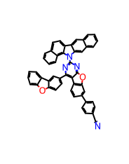 N#Cc1ccc(-c2ccc3c(c2)oc2nc(-n4c5cc6ccccc6cc5c5ccc6ccccc6c54)nc(-c4ccc5oc6ccccc6c5c4)c23)cc1